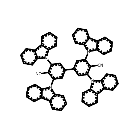 N#Cc1c(-n2c3ccccc3c3ccccc32)cc(-c2cc(-n3c4ccccc4c4ccccc43)c(C#N)c(-n3c4ccccc4c4ccccc43)c2)cc1-n1c2ccccc2c2ccccc21